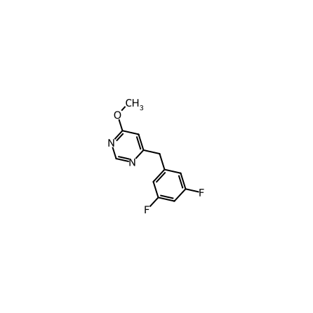 COc1cc(Cc2cc(F)cc(F)c2)ncn1